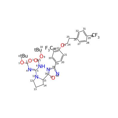 CC(C)(C)OC(=O)/N=C(\NC(=O)OC(C)(C)C)N1CCCC1c1nc(-c2ccc(OCCc3ccc(C(F)(F)F)cc3)c(C(F)(F)F)c2)no1